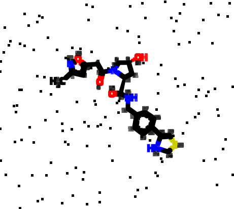 Cc1cc(CC(=O)N2C[C@H](O)C[C@H]2C(=O)NCc2ccc(C3=CSCN3)cc2)on1